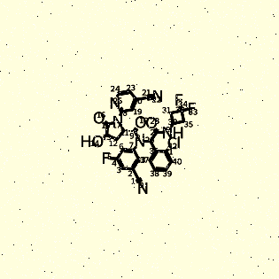 N#Cc1cc(F)cc(N(C(=O)[C@@H]2C[C@@H](O)C(=O)N2c2cc(C#N)ccn2)[C@@H](C(=O)NC2CC(F)(F)C2)c2ccccc2Cl)c1